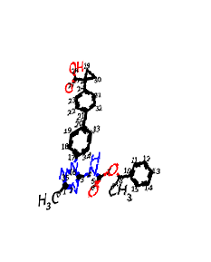 Cc1nc(NC(=O)O[C@H](C)c2ccccc2)n(-c2ccc(-c3ccc(C4(C(=O)O)CC4)cc3)cc2)n1